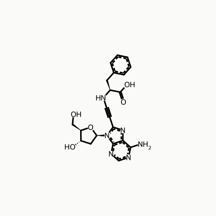 Nc1ncnc2c1nc(C#CN[C@@H](Cc1ccccc1)C(=O)O)n2[C@H]1C[C@H](O)[C@@H](CO)O1